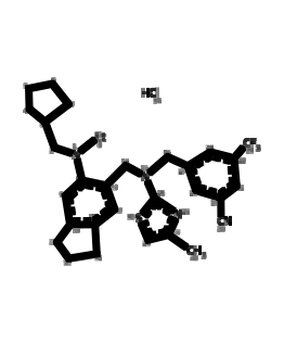 CCN(CC1CCCC1)c1cc2c(cc1CN(Cc1cc(C#N)cc(C(F)(F)F)c1)c1nc(C)cs1)CCC2.Cl